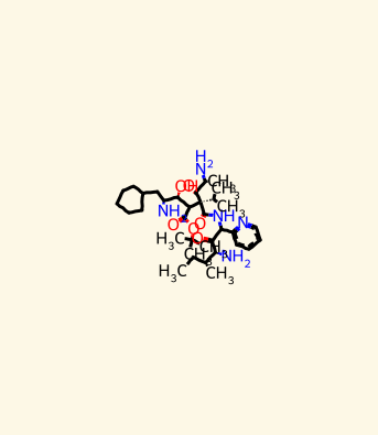 CC[C@H](C)[C@H](N)C(=O)C(NC(=O)[C@@](C(=O)[C@H](C)N)(C(C)C)C(C(=O)OC(C)(C)C)[C@H](O)[C@@H](N)CC1CCCCC1)c1ccccn1